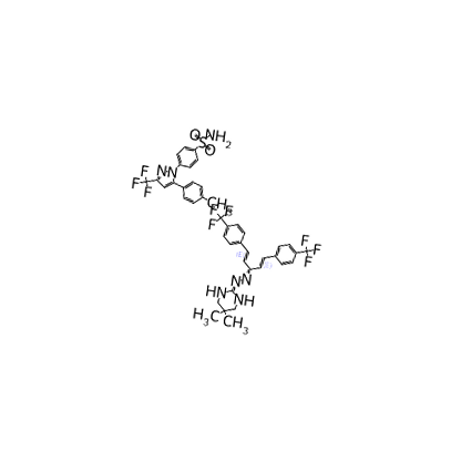 CC1(C)CNC(=NN=C(/C=C/c2ccc(C(F)(F)F)cc2)/C=C/c2ccc(C(F)(F)F)cc2)NC1.Cc1ccc(-c2cc(C(F)(F)F)nn2-c2ccc(S(N)(=O)=O)cc2)cc1